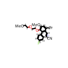 COCCOCCOc1c(OC)cc(C(C)C)c(/C=C/C#N)c1-c1ccc(F)cc1